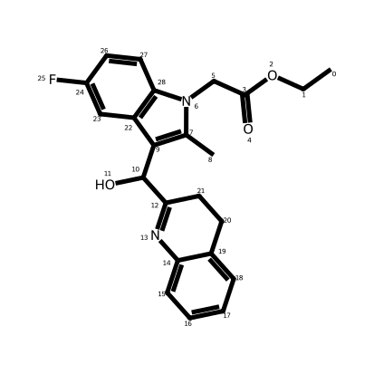 CCOC(=O)Cn1c(C)c(C(O)C2=Nc3ccccc3CC2)c2cc(F)ccc21